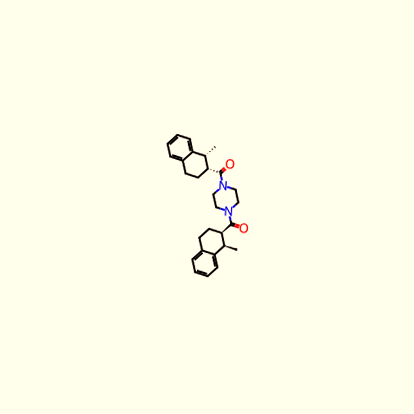 C[C@H]1c2ccccc2CC[C@H]1C(=O)N1CCN(C(=O)[C@@H]2CCc3ccccc3[C@@H]2C)CC1